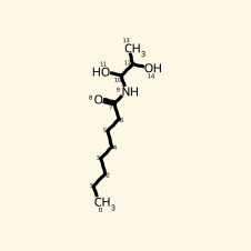 CCCCCCCC(=O)NC(O)C(C)O